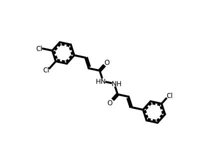 O=C(/C=C/c1cccc(Cl)c1)NNC(=O)/C=C/c1ccc(Cl)c(Cl)c1